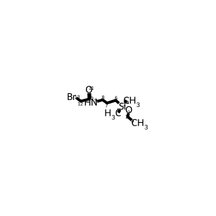 CCO[Si](C)(C)CCCNC(=O)CBr